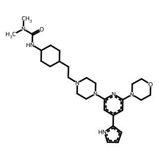 CN(C)C(=O)NC1CCC(CCN2CCN(c3cc(-c4ccc[nH]4)cc(N4CCOCC4)n3)CC2)CC1